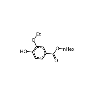 CCCCCCOC(=O)c1ccc(O)c(OCC)c1